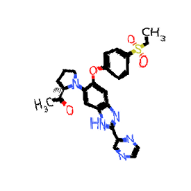 CCS(=O)(=O)c1ccc(Oc2cc3nc(-c4cnccn4)[nH]c3cc2N2CCC[C@@H]2C(C)=O)cc1